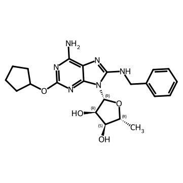 C[C@H]1O[C@@H](n2c(NCc3ccccc3)nc3c(N)nc(OC4CCCC4)nc32)[C@H](O)[C@@H]1O